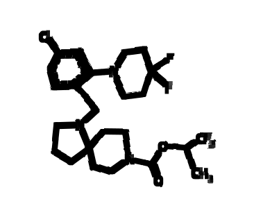 CC(OC(=O)N1CCC2(CCCN2Cc2ccc(Cl)cc2N2CCC(F)(F)CC2)CC1)C(F)(F)F